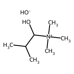 CC(C)C(O)[N+](C)(C)C.[OH-]